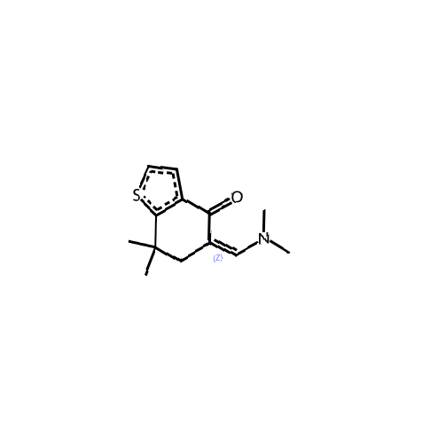 CN(C)/C=C1/CC(C)(C)c2sccc2C1=O